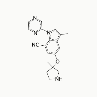 Cc1cn(-c2cnccn2)c2c(C#N)cc(OC3(C)CCNC3)cc12